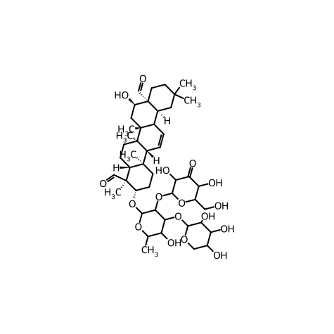 CC1OC(O[C@H]2CC[C@]3(C)[C@H]4C=CC5[C@@H]6CC(C)(C)CC[C@]6(C=O)[C@H](O)C[C@@]5(C)[C@]4(C)CC[C@H]3[C@]2(C)C=O)C(OC2OC(CO)C(O)C(=O)C2O)C(OC2OCC(O)C(O)C2O)C1O